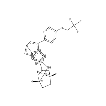 Cc1cc(N2C[C@H]3CC[C@@H](C2)[C@@H]3Nc2nc3c(-c4ccc(OCC(F)(F)F)cc4)cccn3n2)sn1